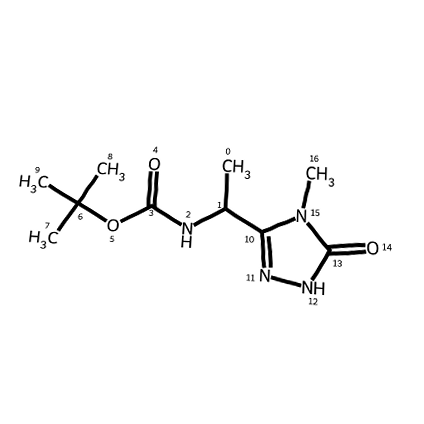 CC(NC(=O)OC(C)(C)C)c1n[nH]c(=O)n1C